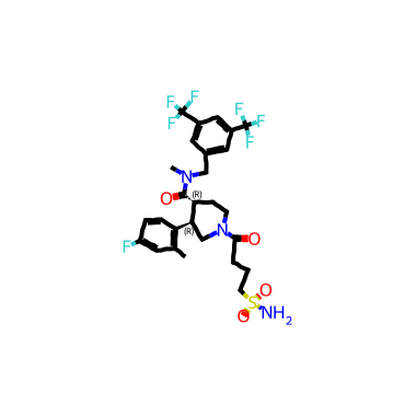 Cc1cc(F)ccc1[C@@H]1CN(C(=O)CCCS(N)(=O)=O)CC[C@H]1C(=O)N(C)Cc1cc(C(F)(F)F)cc(C(F)(F)F)c1